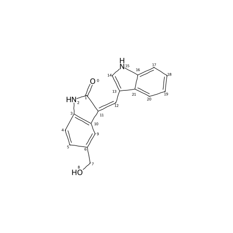 O=C1Nc2ccc(CO)cc2C1=Cc1c[nH]c2ccccc12